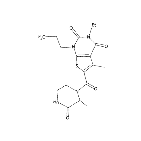 CCn1c(=O)c2c(C)c(C(=O)N3CCNC(=O)C3C)sc2n(CCC(F)(F)F)c1=O